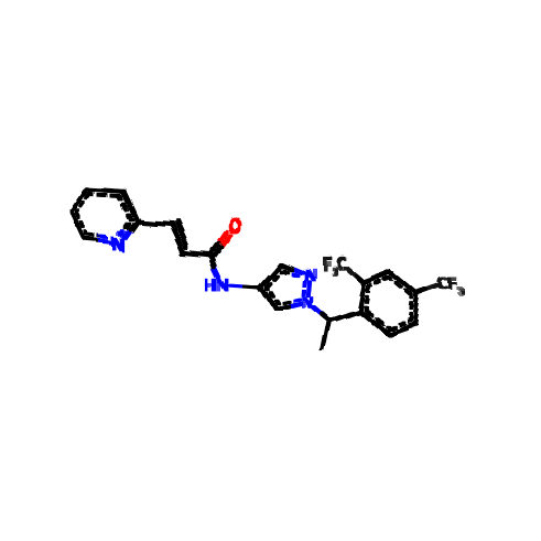 CC(c1ccc(C(F)(F)F)cc1C(F)(F)F)n1cc(NC(=O)/C=C/c2ccccn2)cn1